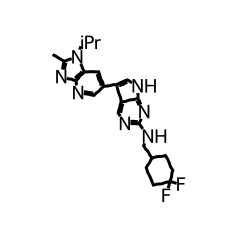 Cc1nc2ncc(-c3c[nH]c4nc(NCC5CCC(F)(F)CC5)ncc34)cc2n1C(C)C